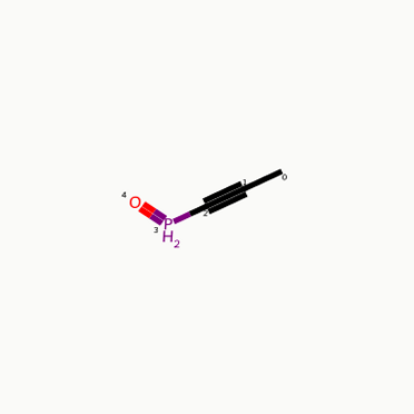 CC#C[PH2]=O